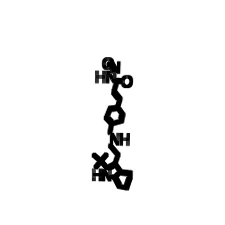 CC(C)(C)c1[nH]c2ccccc2c1CCNCc1ccc(/C=C/C(=O)NN=O)cc1